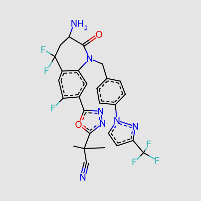 CC(C)(C#N)c1nnc(-c2cc3c(cc2F)C(F)(F)CC(N)C(=O)N3Cc2ccc(-n3ccc(C(F)(F)F)n3)cc2)o1